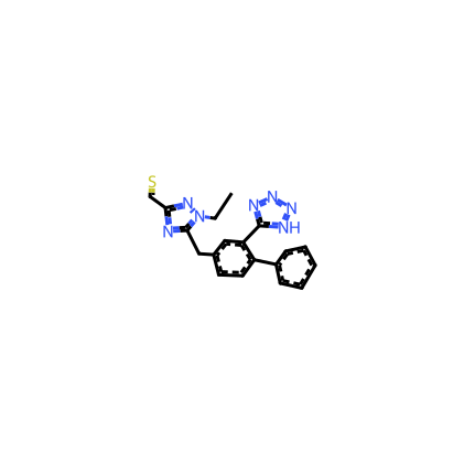 CCn1nc(C=S)nc1Cc1ccc(-c2ccccc2)c(-c2nnn[nH]2)c1